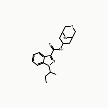 CCC(C)n1nc(C(=O)NC2CC3COCC(C2)N3)c2ccccc21